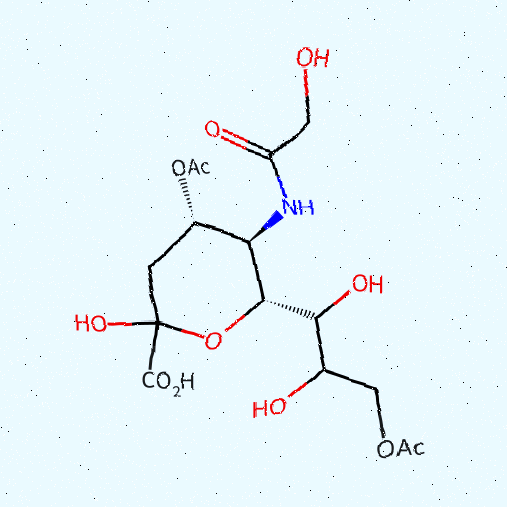 CC(=O)OCC(O)C(O)[C@@H]1OC(O)(C(=O)O)C[C@H](OC(C)=O)[C@H]1NC(=O)CO